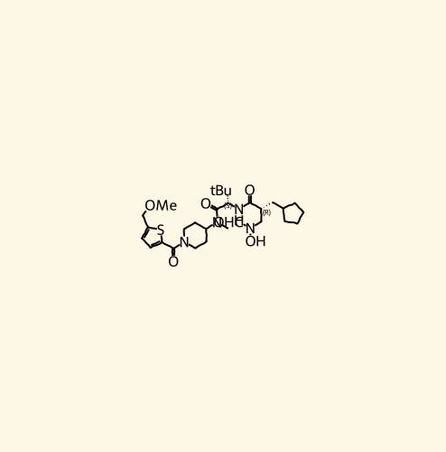 COCc1ccc(C(=O)N2CCC(N(C)C(=O)[C@@H](NC(=O)[C@H](CC3CCCC3)CN(O)C=O)C(C)(C)C)CC2)s1